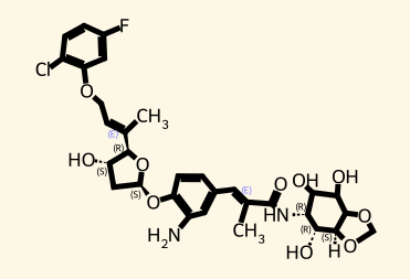 C/C(=C\c1ccc(O[C@H]2C[C@H](O)[C@@H](/C(C)=C/COc3cc(F)ccc3Cl)O2)c(N)c1)C(=O)N[C@@H]1C(O)C(O)C2OCO[C@H]2[C@@H]1O